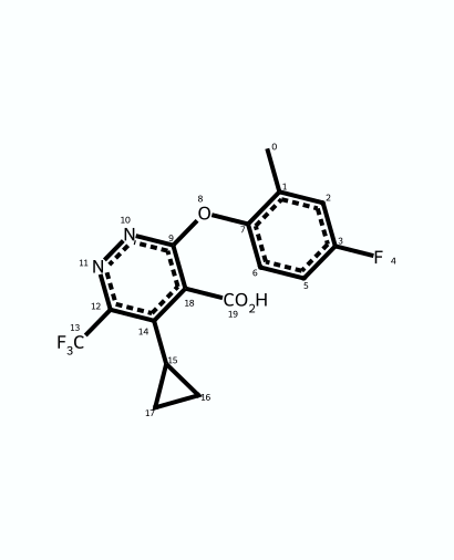 Cc1cc(F)ccc1Oc1nnc(C(F)(F)F)c(C2CC2)c1C(=O)O